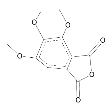 COc1cc2c(c(OC)c1OC)C(=O)OC2=O